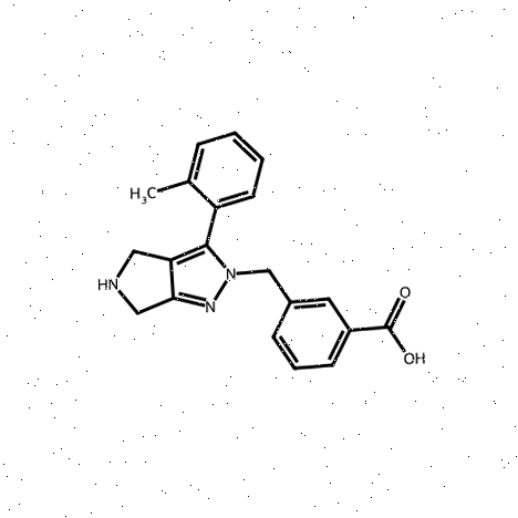 Cc1ccccc1-c1c2c(nn1Cc1cccc(C(=O)O)c1)CNC2